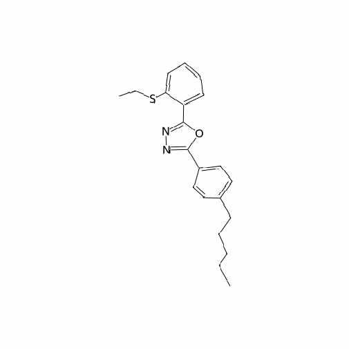 CCCCCc1ccc(-c2nnc(-c3ccccc3SCC)o2)cc1